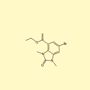 C=C(OCC)c1cc(Br)cc2c1n(C)c(=O)n2C